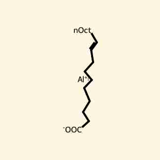 CCCCCCCCC=CCCCCCCCC(=O)[O-].[Al+]